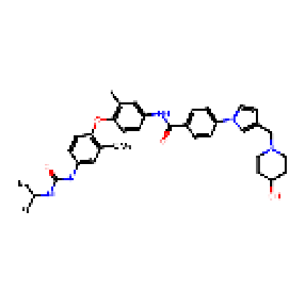 CCC(CC)NC(=O)Nc1ccc(Oc2ccc(NC(=O)c3ccc(-n4ccc(CN5CCC(O)CC5)c4)cc3)cc2C)c(OC)c1